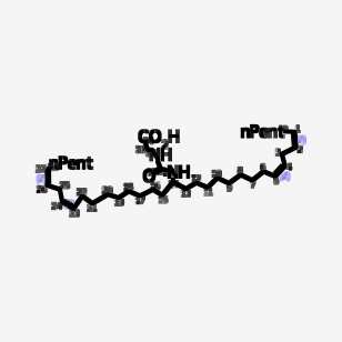 CCCCC/C=C\C/C=C\CCCCCCCCC(CCCCCCCC/C=C\C/C=C\CCCCC)NC(=O)NCC(=O)O